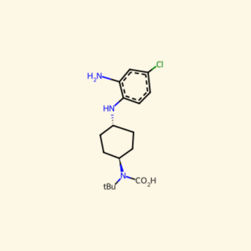 CC(C)(C)N(C(=O)O)[C@H]1CC[C@H](Nc2ccc(Cl)cc2N)CC1